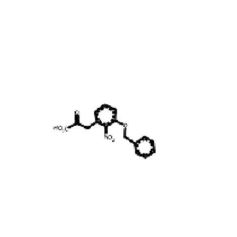 O=C(O)C(=O)Cc1cccc(OCc2ccccc2)c1[N+](=O)[O-]